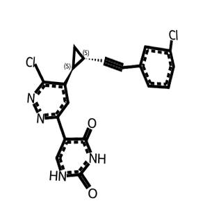 O=c1[nH]cc(-c2cc([C@H]3C[C@@H]3C#Cc3cccc(Cl)c3)c(Cl)nn2)c(=O)[nH]1